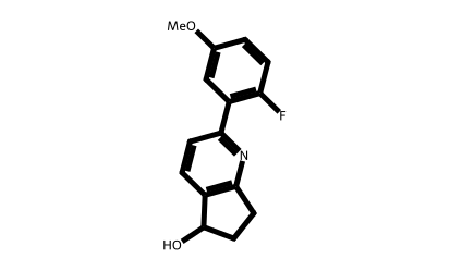 COc1ccc(F)c(-c2ccc3c(n2)CCC3O)c1